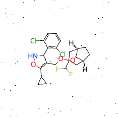 O=C1[C@@H]2CC[C@H]1CC(OCC1=C(C3CC3)ONC1c1c(Cl)cccc1Cl)(C(F)F)C2